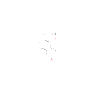 CCCCOC1=C(C(=O)O)N(C)C=C2CC(=O)C(Cl)C=C21